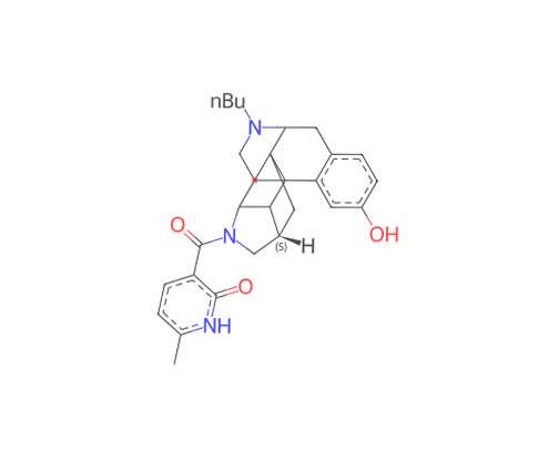 CCCCN1CCC23c4cc(O)ccc4CC1C21CCC2C3[C@@H](CN2C(=O)c2ccc(C)[nH]c2=O)C1